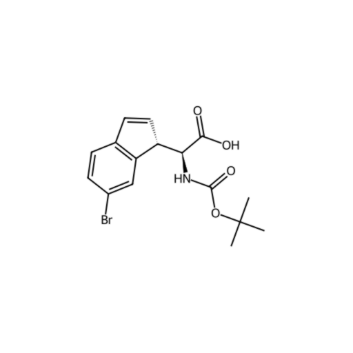 CC(C)(C)OC(=O)N[C@H](C(=O)O)[C@H]1C=Cc2ccc(Br)cc21